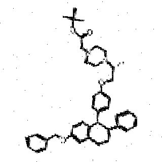 C[C@H](COc1ccc(C2c3ccc(OCc4ccccc4)cc3CCC2c2ccccc2)cc1)N1CCN(CC(=O)OC(C)(C)C)CC1